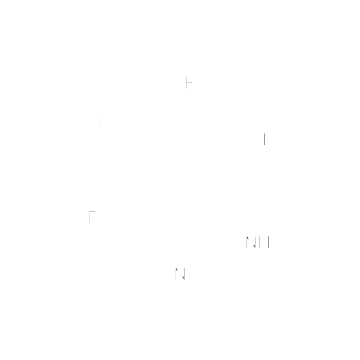 Fc1c(F)c(F)c2[nH]cnc2c1F